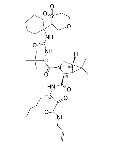 C=CCNC(=O)C(=O)[C@H](CCCC)NC(=O)[C@@H]1C2[C@H](CN1C(=O)[C@@H](NC(=O)NC1(C3COCCS3(=O)=O)CCCCC1)C(C)(C)C)C2(C)C